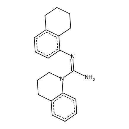 NC(=Nc1cccc2c1CCCC2)N1CCCc2ccccc21